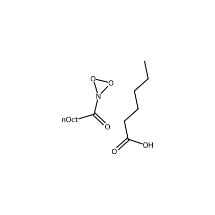 CCCCCC(=O)O.CCCCCCCCC(=O)n1oo1